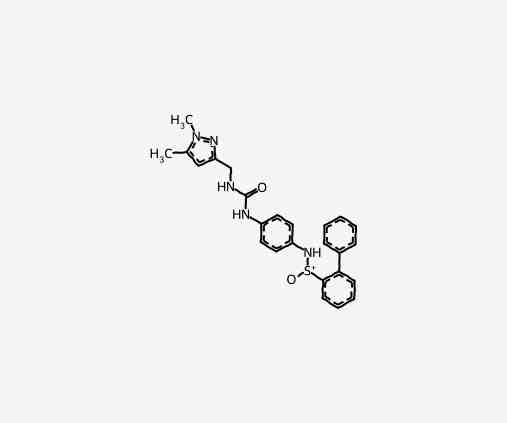 Cc1cc(CNC(=O)Nc2ccc(N[S+]([O-])c3ccccc3-c3ccccc3)cc2)nn1C